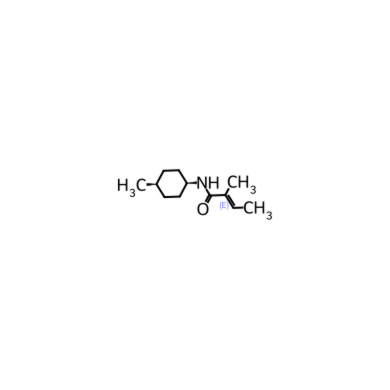 C/C=C(\C)C(=O)N[C@H]1CC[C@@H](C)CC1